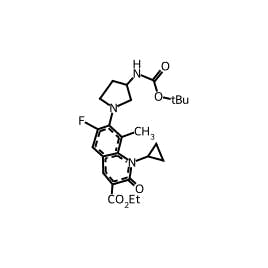 CCOC(=O)c1cc2cc(F)c(N3CCC(NC(=O)OC(C)(C)C)C3)c(C)c2n(C2CC2)c1=O